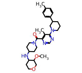 COC1COCCC1NC1CCN(C(=O)c2ncnc(N3CCCC(c4ccc(C)cc4)C3)c2C)CC1